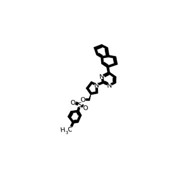 Cc1ccc(S(=O)(=O)OC[C@H]2CCN(c3nccc(-c4ccc5ccccc5c4)n3)C2)cc1